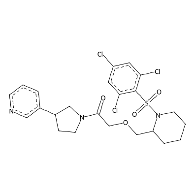 O=C(COCC1CCCCN1S(=O)(=O)c1c(Cl)cc(Cl)cc1Cl)N1CCC(c2cccnc2)C1